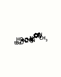 Cn1ncc2ccc(-c3noc(N4CCN(C(O)OC(C)(C)C)CC4)n3)cc21